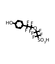 O=S(=O)(O)C(F)(F)C(F)(F)OC(F)(F)C(F)(F)c1ccc(O)cc1